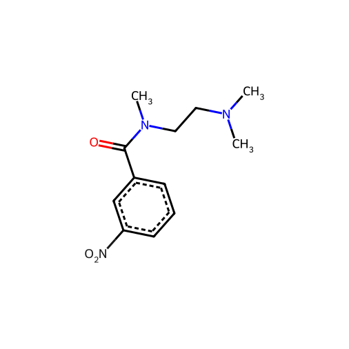 CN(C)CCN(C)C(=O)c1cccc([N+](=O)[O-])c1